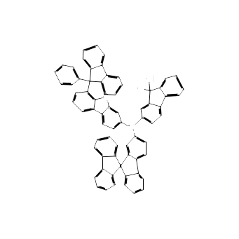 CC1(C)c2ccccc2-c2ccc(N(c3ccc4c(c3)C3(c5ccccc5-c5ccccc53)c3ccccc3-4)c3ccc4c(c3)oc3c(C5(c6ccccc6)c6ccccc6-c6ccccc65)cccc34)cc21